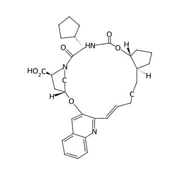 O=C1N[C@@H](C2CCCC2)C(=O)N2C[C@@H](C[C@H]2C(=O)O)Oc2cc3ccccc3nc2/C=C/CCC[C@@H]2CCC[C@H]2O1